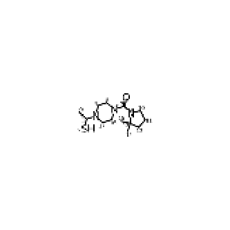 CC(S)N1CCN(C(=O)N2CCCC2(C)C)CC1